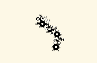 CNC(=O)c1cc(Nc2ncc(F)c(N(C)c3ccc(NC(=O)Oc4ccccc4)cc3)n2)ccc1C